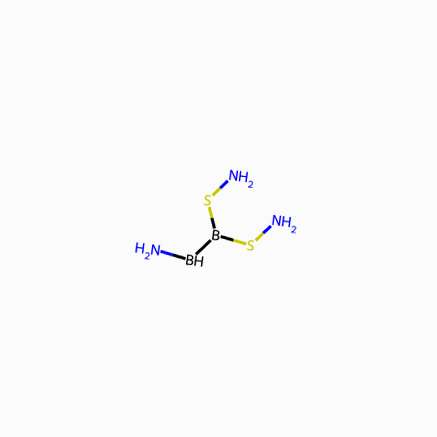 NBB(SN)SN